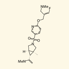 C=C(NC)[C@@H]1[C@H]2CN(S(=O)(=O)c3ccc(OC/C(=C/F)CNC)nc3)C[C@]21C